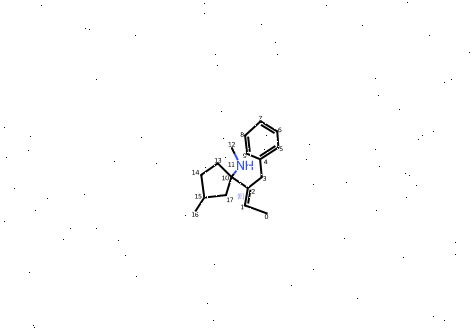 C/C=C(\Cc1ccccc1)C1(NC)CCC(C)C1